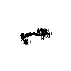 CCC(C)n1ncc2c(C(=O)NCc3c(C)cc(C)[nH]c3=O)cc(-c3ccc(N4CCN(CCOCCOCCOCC(=O)N[C@H](C(=O)N5C[C@H](O)C[C@H]5C(=O)N[C@@H](C)c5ccc(-c6scnc6C)cc5)C(C)(C)C)CC4)nc3)cc21